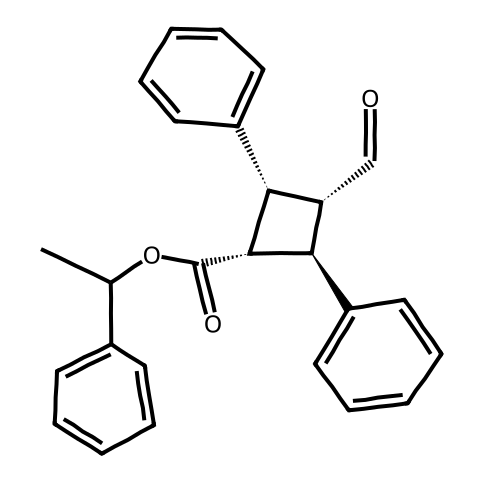 CC(OC(=O)[C@H]1[C@H](c2ccccc2)[C@@H](C=O)[C@H]1c1ccccc1)c1ccccc1